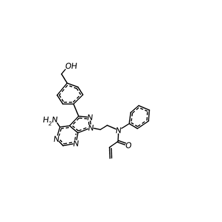 C=CC(=O)N(CCn1nc(-c2ccc(CO)cc2)c2c(N)ncnc21)c1ccccc1